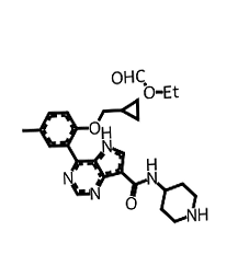 CCOC=O.Cc1ccc(OCC2CC2)c(-c2ncnc3c(C(=O)NC4CCNCC4)c[nH]c23)c1